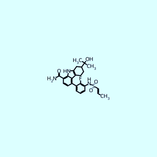 CC=CS(=O)(=O)Nc1cccc(-c2ccc(C(N)=O)c3[nH]c4c(c23)CCC(C(C)(C)O)C4)c1F